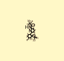 Cc1ccc(-c2cccc(NC(=O)C(C)(C)C)n2)c(OC(C)C)c1